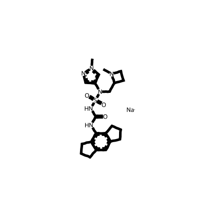 CN1CCC1CN(c1cnn(C)c1)S(=O)(=O)NC(=O)Nc1c2c(cc3c1CCC3)CCC2.[Na]